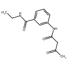 CCNC(=O)c1cccc(NC(=O)CC(C)=O)c1